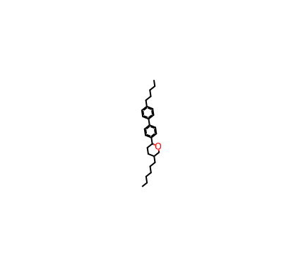 CCCCCCC1CCC(c2ccc(-c3ccc(CCCCC)cc3)cc2)OC1